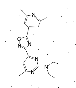 CCN(CC)c1nc(C)cc(-c2noc(-c3cc(C)nc(C)c3)n2)n1